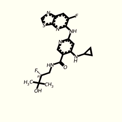 CC(C)(O)[C@H](F)CNC(=O)c1cnc(Nc2nc3scnc3cc2F)cc1NC1CC1